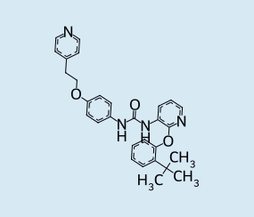 CC(C)(C)c1ccccc1Oc1ncccc1NC(=O)Nc1ccc(OCCc2ccncc2)cc1